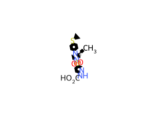 CC#C[C@H]1CN(S(=O)(=O)c2ccc(NC(=O)O)nc2)CCN1c1ccc(SC2CC2)cc1